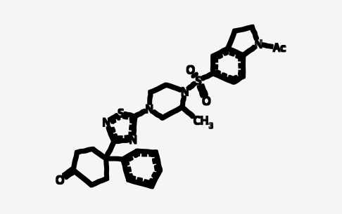 CC(=O)N1CCc2cc(S(=O)(=O)N3CCN(c4nc(C5(c6ccccc6)CCC(=O)CC5)ns4)CC3C)ccc21